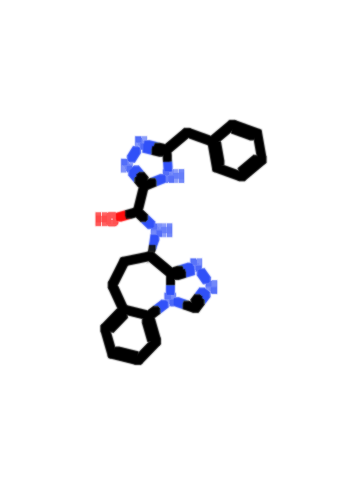 OC(N[C@@H]1CCc2ccccc2-n2cnnc21)c1nnc(Cc2ccccc2)[nH]1